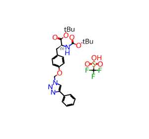 CC(C)(C)OC(=O)N[C@@H](Cc1ccc(OCn2cc(-c3ccccc3)nn2)cc1)C(=O)OC(C)(C)C.O=S(=O)(O)C(F)(F)F